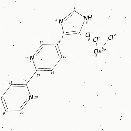 [Cl-].[Cl-].[Cl][Os+2].c1c[nH]cn1.c1ccc(-c2ccccn2)nc1